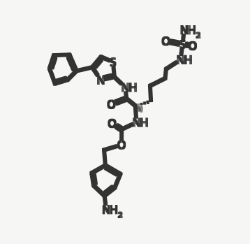 Nc1ccc(COC(=O)N[C@@H](CCCCNS(N)(=O)=O)C(=O)Nc2nc(-c3ccccc3)cs2)cc1